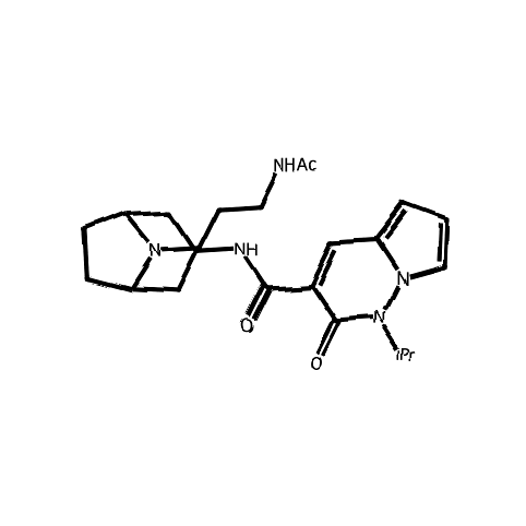 CC(=O)NCCCN1C2CCC1CC(NC(=O)c1cc3cccn3n(C(C)C)c1=O)C2